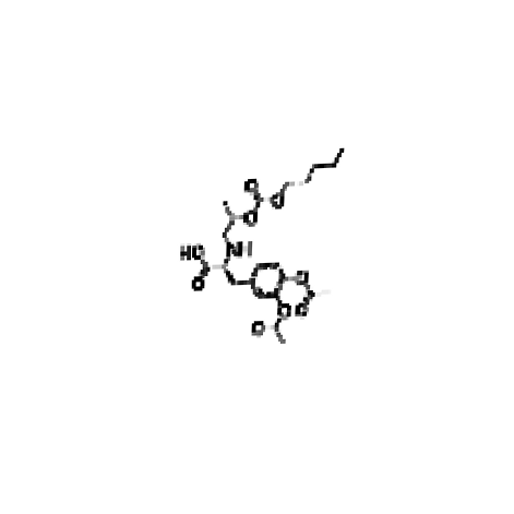 CCCCCOC(=O)OC(C)CN[C@@H](Cc1ccc(OC(C)=O)c(OC(C)=O)c1)C(=O)O